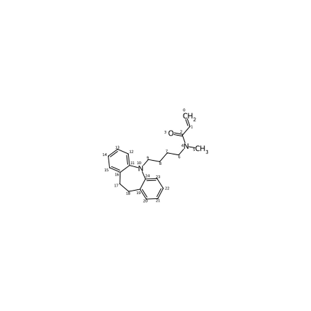 C=CC(=O)N(C)CCCCN1c2ccccc2CCc2ccccc21